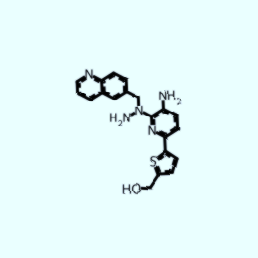 Nc1ccc(-c2ccc(CO)s2)nc1N(N)Cc1ccc2ncccc2c1